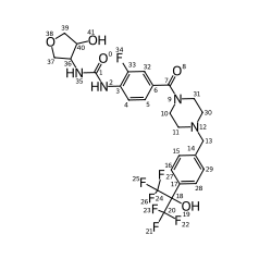 O=C(Nc1ccc(C(=O)N2CCN(Cc3ccc(C(O)(C(F)(F)F)C(F)(F)F)cc3)CC2)cc1F)NC1COCC1O